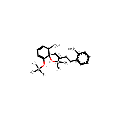 C[Si](C)(C)OC1=CC=CC(C(=O)O)[C@]1(CCCCc1ccccc1C(=O)O)O[Si](C)(C)C